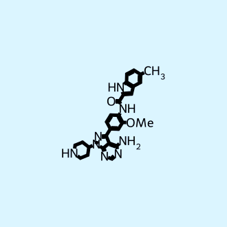 COc1cc(-c2nn(C3CCNCC3)c3ncnc(N)c23)ccc1NC(=O)c1cc2cc(C)ccc2[nH]1